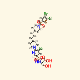 O=C(O)C(CO)NS(=O)(=O)c1cnc(N2CCC(CCCC3CCN(S(=O)(=O)c4cc(Br)c(Cl)s4)CC3)CC2)c(Br)c1